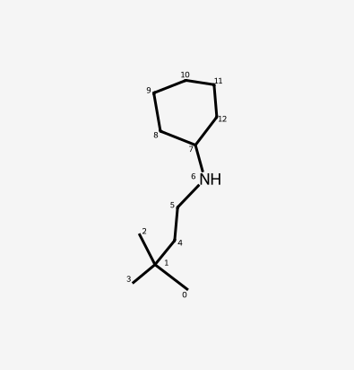 CC(C)(C)CCNC1CCCCC1